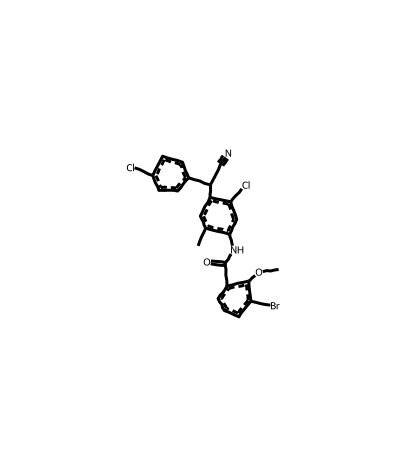 COc1c(Br)cccc1C(=O)Nc1cc(Cl)c(C(C#N)c2ccc(Cl)cc2)cc1C